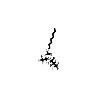 CCCCCCCCOC(=S)SC(F)(OC(F)(F)C(F)(F)C(F)(F)F)C(F)(F)F